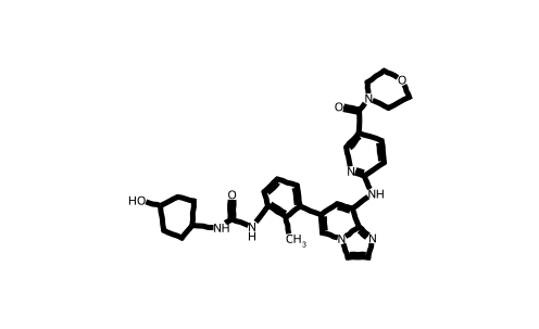 Cc1c(NC(=O)NC2CCC(O)CC2)cccc1-c1cc(Nc2ccc(C(=O)N3CCOCC3)cn2)c2nccn2c1